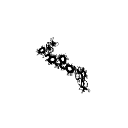 CC(C)(C)OC(=O)N1CCCC1C(=O)Nc1ccc(CN(Cc2ccc(/C=C/[C@@H]3CCCN3C(=O)OC(C)(C)C)cc2)c2ccccc2)cc1